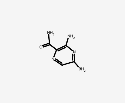 Bc1cnc(C(N)=O)c(N)n1